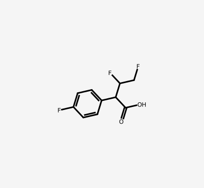 O=C(O)C(c1ccc(F)cc1)C(F)CF